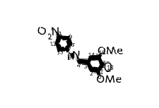 COC1=CC(=CN=Nc2ccc([N+](=O)[O-])cc2)C=C(OC)C1=O